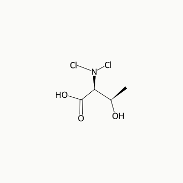 C[C@@H](O)[C@@H](C(=O)O)N(Cl)Cl